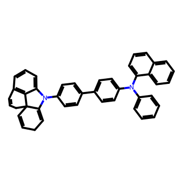 C1=CC23CC=Cc4cccc(c42)N(c2ccc(-c4ccc(N(c5ccccc5)c5cccc6ccccc56)cc4)cc2)C3=CC1